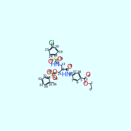 CCOC(=O)c1ccc(NC(=O)C(CNS(=O)(=O)c2ccc(Cl)cc2)COS(=O)(=O)c2ccccc2C)cc1